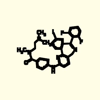 CN(C)CCN(C)C(=O)c1ccc(Nc2ccc3c(n2)-c2ccc(I)cc2C(c2c(F)cccc2F)=NC3)cc1